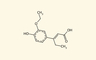 CCOc1cc(C(=CC(=O)O)CC)ccc1O